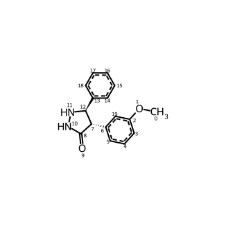 COc1cccc([C@@H]2C(=O)NN[C@H]2c2ccccc2)c1